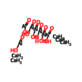 [CaH2].[CaH2].[CaH2].[CaH2].[CaH2].[O]=[Al][OH].[O]=[Al][OH].[O]=[Al][OH].[O]=[Al][OH].[O]=[Al][OH].[O]=[Al][OH].[O]=[Al][OH]